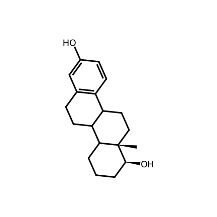 C[C@]12CCC3c4ccc(O)cc4CCC3C1CCC[C@@H]2O